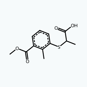 COC(=O)c1cccc(SC(C)C(=O)O)c1C